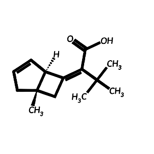 CC(C)(C)C(C(=O)O)=C1C[C@]2(C)CC=C[C@@H]12